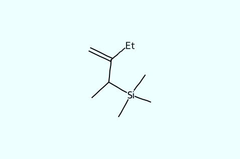 C=C(CC)C(C)[Si](C)(C)C